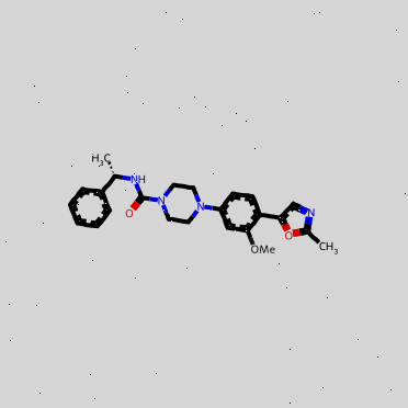 COc1cc(N2CCN(C(=O)N[C@@H](C)c3ccccc3)CC2)ccc1-c1cnc(C)o1